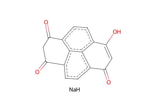 O=C1C=C(O)c2ccc3c4c(ccc1c24)C(=O)CC3=O.[NaH]